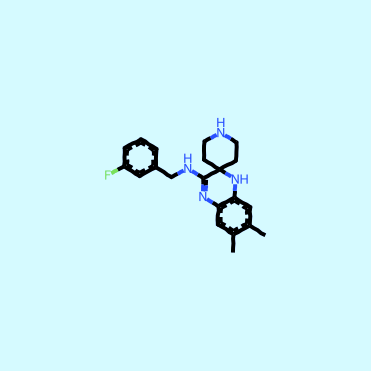 Cc1cc2c(cc1C)NC1(CCNCC1)C(NCc1cccc(F)c1)=N2